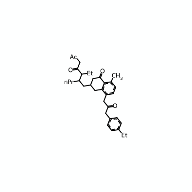 CCCC(CC1CC(=O)c2c(C)ccc(CC(=O)Cc3ccc(CC)cc3)c2C1)C(CC)C(=O)CC(C)=O